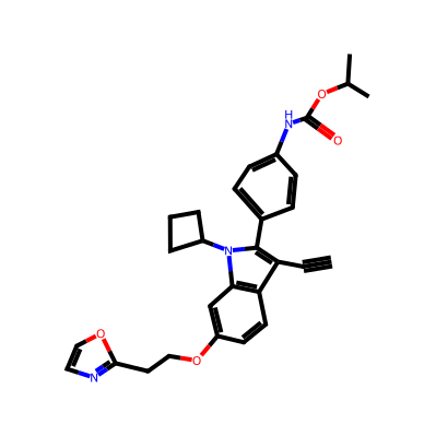 C#Cc1c(-c2ccc(NC(=O)OC(C)C)cc2)n(C2CCC2)c2cc(OCCc3ncco3)ccc12